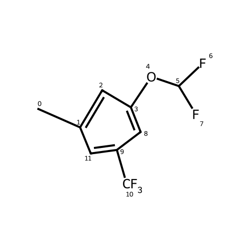 Cc1cc(OC(F)F)cc(C(F)(F)F)c1